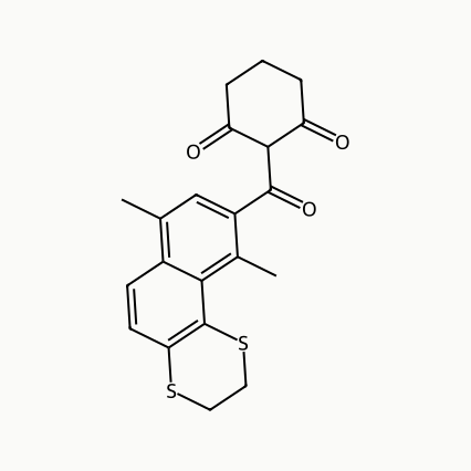 Cc1cc(C(=O)C2C(=O)CCCC2=O)c(C)c2c3c(ccc12)SCCS3